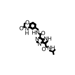 CC(C)CNC(=O)c1c[nH]c2c(C(=O)NCc3ccc4c(c3)NC(=O)CO4)ncnc12